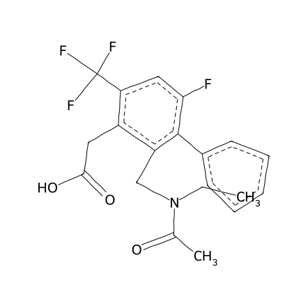 CCN(Cc1c(CC(=O)O)c(C(F)(F)F)cc(F)c1-c1ccccc1)C(C)=O